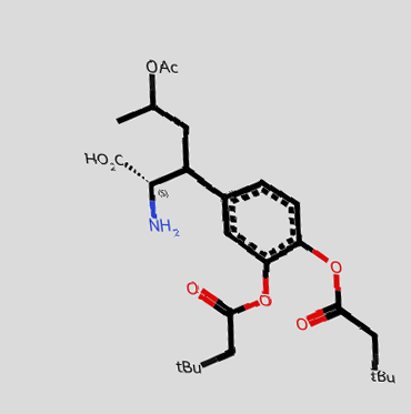 CC(=O)OC(C)CC(c1ccc(OC(=O)CC(C)(C)C)c(OC(=O)CC(C)(C)C)c1)[C@H](N)C(=O)O